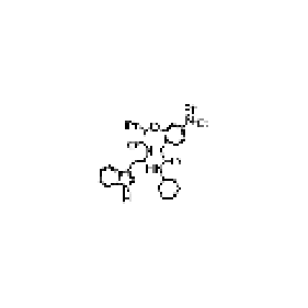 CCN(CC)c1ccc2c(c1)OC(C(C)C)C(=O)N(CCc1c[nH]c3ccccc13)C2C(=O)NC1CCCCC1